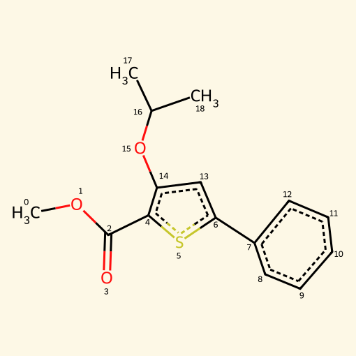 COC(=O)c1sc(-c2ccccc2)cc1OC(C)C